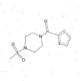 CS(=O)(=O)N1CCN(C(=O)c2cccs2)CC1